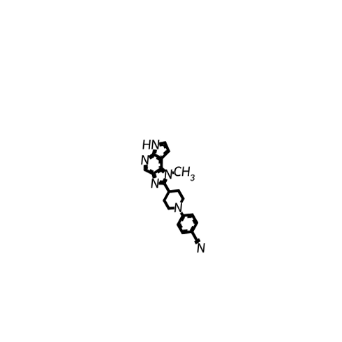 Cn1c(C2CCN(c3ccc(C#N)cc3)CC2)nc2cnc3[nH]ccc3c21